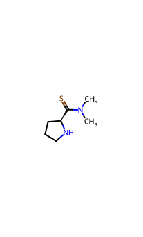 CN(C)C(=S)[C@@H]1CCCN1